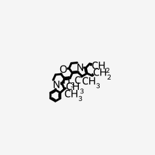 C=CC1=C(C=C)C(C)(C)C2=C3C=C4C5=[N+](CCC4OC3CCN12)c1ccccc1C5(C)C